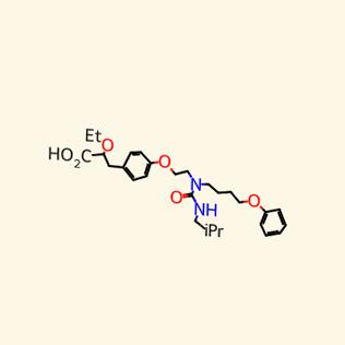 CCOC(Cc1ccc(OCCN(CCCCOc2ccccc2)C(=O)NCC(C)C)cc1)C(=O)O